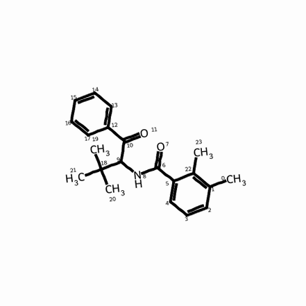 Cc1cccc(C(=O)NC(C(=O)c2ccccc2)C(C)(C)C)c1C